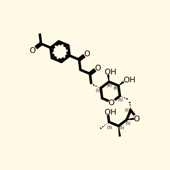 CC(=O)c1ccc(C(=O)CC(=O)C[C@H]2CO[C@@H](C[C@@H]3O[C@H]3[C@@H](C)[C@H](C)O)[C@H](O)[C@@H]2O)cc1